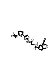 C[C@@]1(C#N)COCc2ccc(C(=O)NCC(=O)Nc3nc(-c4cccc([C@@H]5CC5(F)F)n4)cs3)cc21